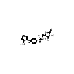 COc1ccccc1Oc1ccc(S(=O)(=O)NCC2NC(=O)NC2=O)cc1